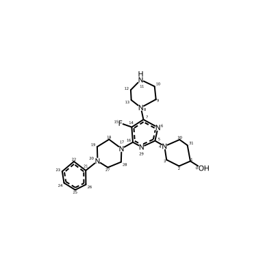 OC1CCN(c2nc(N3CCNCC3)c(F)c(N3CCN(c4ccccc4)CC3)n2)CC1